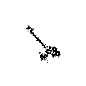 C#C[C@]1(CO[Si](c2ccccc2)(c2ccccc2)C(C)(C)C)O[C@@H](n2cnc3c(N)nc(F)nc32)C[C@@H]1OC(=O)CCCCCCCCCCCCC(=O)OC(C)(C)C